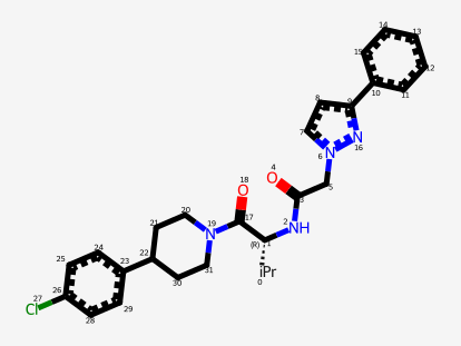 CC(C)[C@@H](NC(=O)Cn1ccc(-c2ccccc2)n1)C(=O)N1CCC(c2ccc(Cl)cc2)CC1